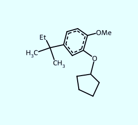 CCC(C)(C)c1ccc(OC)c(OC2CCCC2)c1